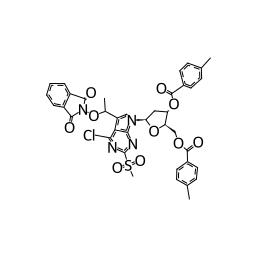 Cc1ccc(C(=O)OC[C@H]2O[C@@H](n3cc(C(C)ON4C(=O)c5ccccc5C4=O)c4c(Cl)nc(S(C)(=O)=O)nc43)C[C@@H]2OC(=O)c2ccc(C)cc2)cc1